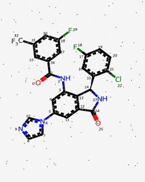 O=C(Nc1cc(-n2ccnc2)cc2c1[C@@H](c1cc(F)ccc1Cl)NC2=O)c1cc(F)cc(C(F)(F)F)c1